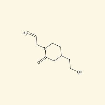 C=CCN1CCC(CCO)CC1=O